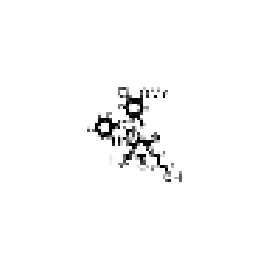 COc1cc(CN2c3c(n(C)c(=O)n(CCCO)c3=O)NC2Oc2ccccc2)ccc1Cl